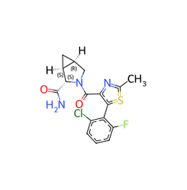 Cc1nc(C(=O)N2C[C@@H]3C[C@@H]3[C@H]2C(N)=O)c(-c2c(F)cccc2Cl)s1